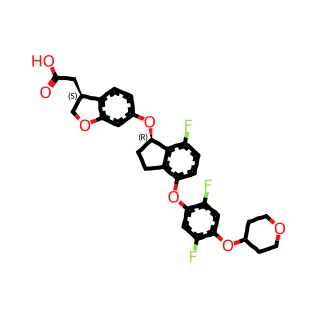 O=C(O)C[C@@H]1COc2cc(O[C@@H]3CCc4c(Oc5cc(F)c(OC6CCOCC6)cc5F)ccc(F)c43)ccc21